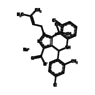 CC(C)=CCn1nc(C(=O)[O-])c(C(Nc2cccc(Cl)c2F)c2ccc(Cl)cc2C)c1C(C)C.[Na+]